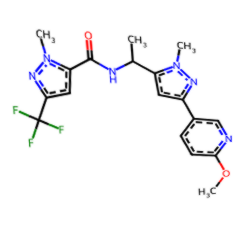 COc1ccc(-c2cc(C(C)NC(=O)c3cc(C(F)(F)F)nn3C)n(C)n2)cn1